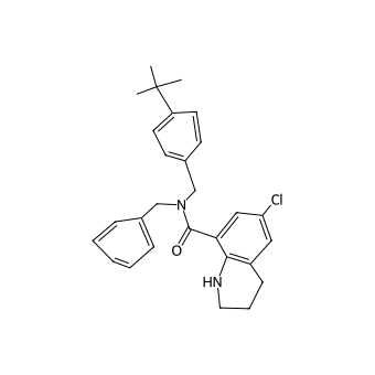 CC(C)(C)c1ccc(CN(Cc2ccccc2)C(=O)c2cc(Cl)cc3c2NCCC3)cc1